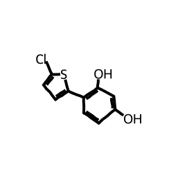 Oc1ccc(-c2ccc(Cl)s2)c(O)c1